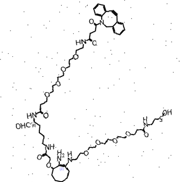 N/C1=C(\NCCOCCOCCOCCOCCC(=O)NCCSO)CCCCCC1OCC(=O)NCCCC[C@H](C=O)NC(=O)CCOCCOCCOCCOCCNC(=O)CCC(=O)N1Cc2ccccc2C#Cc2ccccc21